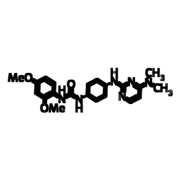 COc1ccc(NC(=O)N[C@H]2CC[C@@H](Nc3nccc(N(C)C)n3)CC2)c(OC)c1